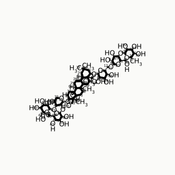 C[C@@H]1O[C@@H](O[C@H]2[C@H](O)[C@@H](O)[C@H](OC[C@H]3O[C@@H](OC(=O)[C@]45CCC(C)(C)C[C@H]4C4=CC[C@@H]6[C@@]7(C)CC[C@H](O[C@@H]8OC[C@H](O)[C@H](O[C@@H]9O[C@H](CO)[C@@H](O)[C@H](O)[C@H]9O)[C@H]8O[C@@H]8O[C@H](CO)[C@@H](O)[C@H](O)[C@H]8O)[C@@](C)(CO)[C@@H]7CC[C@@]6(C)[C@]4(C)CC5)[C@H](O)[C@@H](O)[C@@H]3O)O[C@@H]2CO)[C@H](O)[C@H](O)[C@H]1O